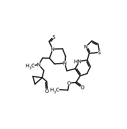 CCOC(=O)C1=C(CN2CCN(C=S)C(CN(C)CC3(C=O)CC3)C2)NC(c2nccs2)=CC1